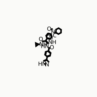 CC1(N(C=O)c2ccc3c(C(=O)NC4CC4)c(NC(=O)c4ccc(-c5cn[nH]c5)cc4)[nH]c3c2)CCCCC1